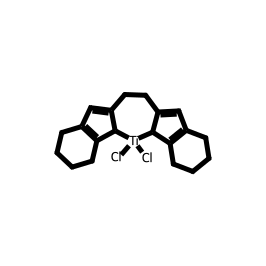 [Cl][Ti]1([Cl])[CH]2C(=CC3=C2CCCC3)CCC2=CC3=C(CCCC3)[CH]21